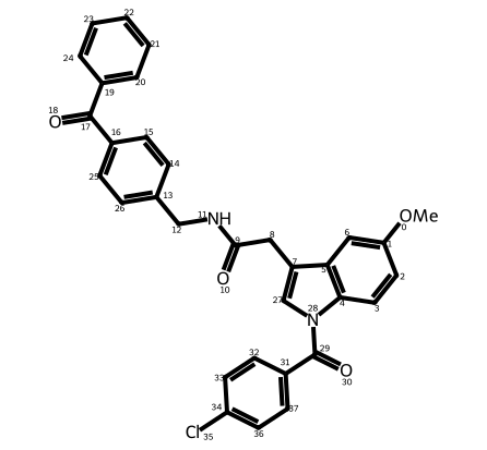 COc1ccc2c(c1)c(CC(=O)NCc1ccc(C(=O)c3ccccc3)cc1)cn2C(=O)c1ccc(Cl)cc1